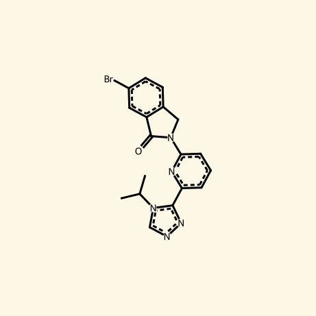 CC(C)n1cnnc1-c1cccc(N2Cc3ccc(Br)cc3C2=O)n1